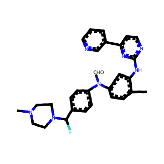 Cc1ccc(N(C=O)c2ccc(C(F)N3CCN(C)CC3)cc2)cc1Nc1nccc(-c2cccnc2)n1